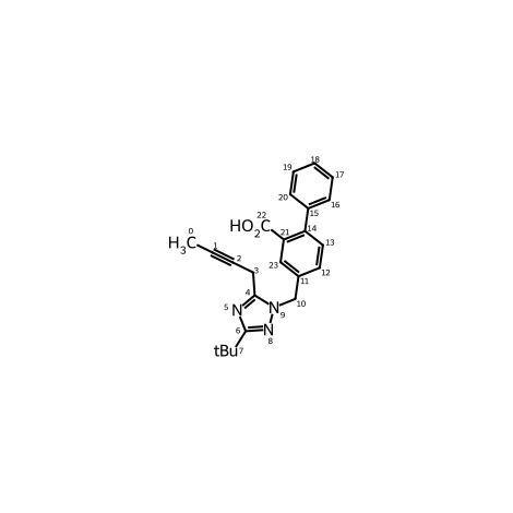 CC#CCc1nc(C(C)(C)C)nn1Cc1ccc(-c2ccccc2)c(C(=O)O)c1